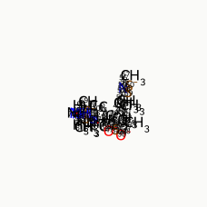 CCCCC(CC)[CH2][Ni+].CCCCC(CC)[CH2][Ni+].CCCCCC(C)(C)c1ccc([O-])c(Sc2cc(C(C)(C)CCCCC)ccc2[O-])c1.CCCCN(CCCC)C(=S)[S-].CCCCN(CCCC)C(=S)[S-].N.N.[Ni+2]